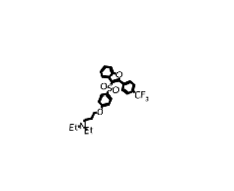 CCN(CC)CCCOc1ccc(S(=O)(=O)c2c(-c3ccc(C(F)(F)F)cc3)oc3ccccc23)cc1